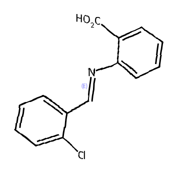 O=C(O)c1ccccc1/N=C/c1ccccc1Cl